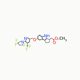 CCOC(=O)CC1CCc2c1[nH]c1ccc(OCc3cnc(N4CCC(F)(F)C4)c(C(F)(F)F)c3)cc21